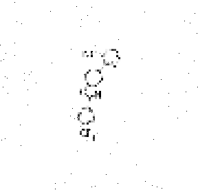 N#Cc1cccnc1C1CCc2oc(-c3ccc(C(F)(F)F)cc3)nc2C1